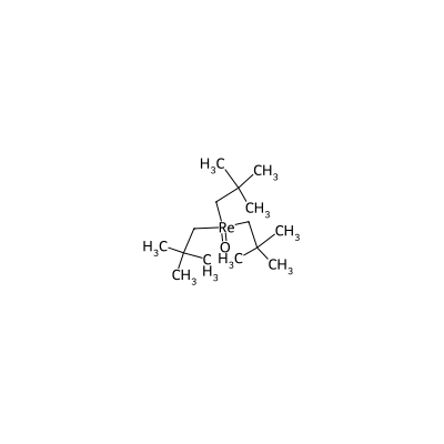 CC(C)(C)[CH2][Re](=[O])([CH2]C(C)(C)C)[CH2]C(C)(C)C